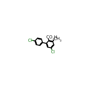 Cc1cc(Cl)cc(-c2ccc(Cl)cc2)c1C(=O)O